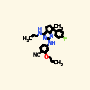 C=CCNc1nc(Nc2ccc(C#N)c(OCC=C)c2)nc2c1CCC2(C)c1ccc(F)cc1